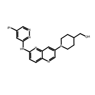 CC(C)c1cnnc(Nc2ccc3ncc(N4CCC(CO)CC4)cc3n2)c1